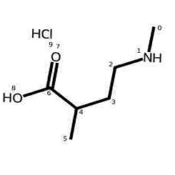 CNCCC(C)C(=O)O.Cl